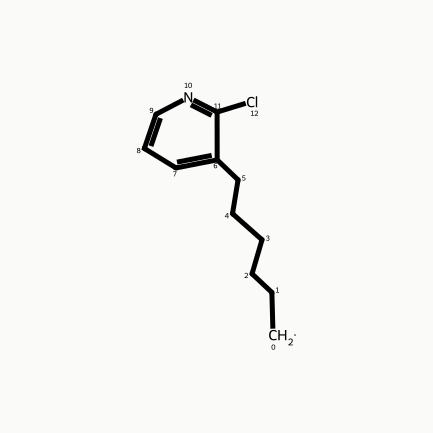 [CH2]CCCCCc1cccnc1Cl